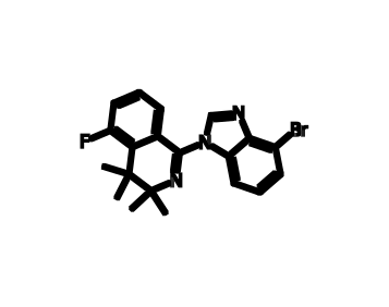 CC1(C)N=C(n2cnc3c(Br)cccc32)c2cccc(F)c2C1(C)C